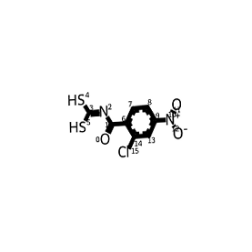 O=C(N=C(S)S)c1ccc([N+](=O)[O-])cc1Cl